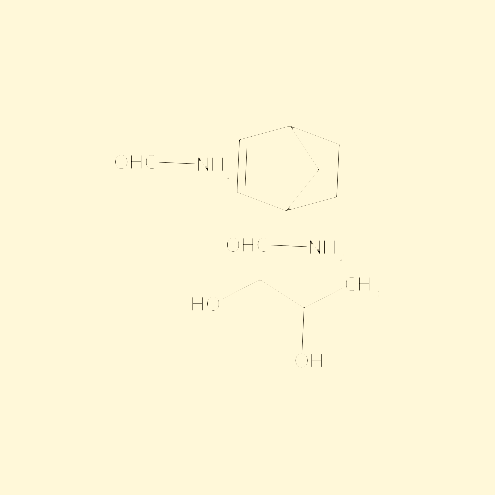 C1=CC2CCC1C2.CC(O)CO.NC=O.NC=O